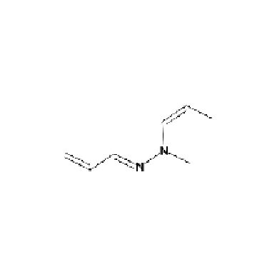 C=C/C=N/N(C)/C=C\C